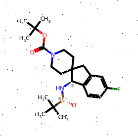 CC(C)(C)OC(=O)N1CCC2(CC1)Cc1cc(F)ccc1[C@H]2N[S@+]([O-])C(C)(C)C